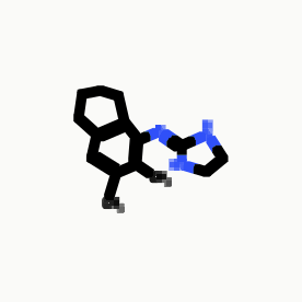 Cc1cc2c(c(N=C3NCCN3)c1C)CCCC2